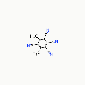 Cc1c(C#N)c(C)c(C#N)c(C#N)c1C#N